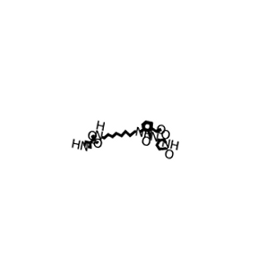 O=C1CCC(N2C(=O)c3cccc(NCCCCCCCCNS(=O)(=O)C4CNC4)c3C2=O)C(=O)N1